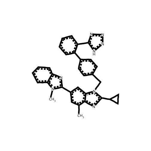 Cc1cc(-c2nc3ccccc3n2C)cc2c1nc(C1CC1)n2Cc1ccc(-c2ccccc2-c2nnn[nH]2)cc1